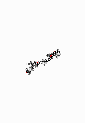 C[C@]12C=CC(=O)C=C1CC[C@@H]1[C@@H]2[C@@H](O)C[C@@]2(C)[C@H]1C[C@H]1O[C@@H](c3ccc(Cc4nc(NC(=O)OCc5ccc(NC(=O)[C@H](CCC(=O)O)NC(=O)CNC(=O)CCC(=O)ON6C(=O)CCC6=O)cc5)cs4)cc3)O[C@]12C(=O)CO